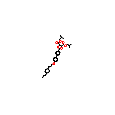 CCCC1CCC(/C=C/COc2ccc(-c3ccc(C4O[C@@H](C(=O)OCC(C)C)[C@H](C(=O)OCC(C)C)O4)cc3)cc2)CC1